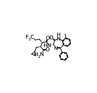 Cc1cccc2c1NC(=O)[C@@H](NC(=O)[C@H](CCC(F)(F)F)[C@H](CC1CC1)C(N)=O)N=C2c1ccccc1